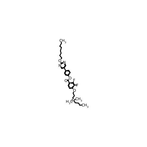 CCCCCCCCOc1ncc(-c2ccc(OC(=O)c3ccc(OCCC[Si](C)(C)CCCC)c(F)c3F)cc2)cn1